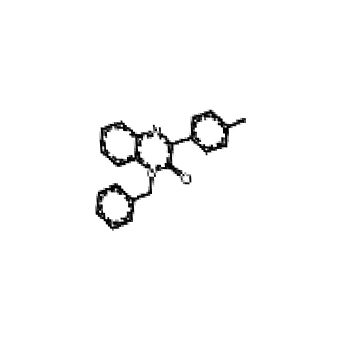 Cc1ccc(-c2nc3ccccc3n(Cc3ccccc3)c2=O)cc1